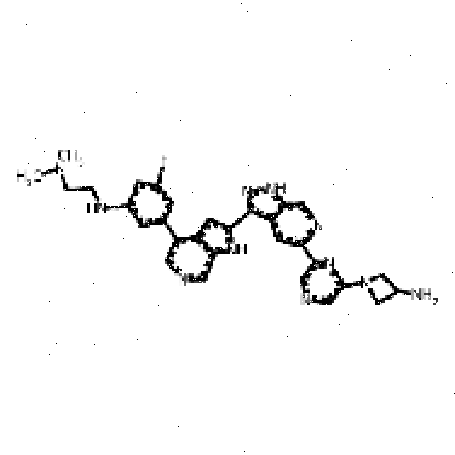 CN(C)CCNc1cc(F)cc(-c2cncc3[nH]c(-c4n[nH]c5cnc(-c6cncc(N7CC(N)C7)n6)cc45)cc23)c1